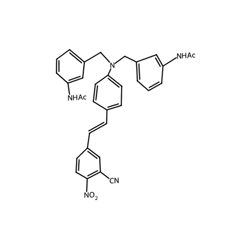 CC(=O)Nc1cccc(CN(Cc2cccc(NC(C)=O)c2)c2ccc(C=Cc3ccc([N+](=O)[O-])c(C#N)c3)cc2)c1